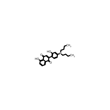 CCCCN(CCCC)c1ccc(C2=CC(=O)c3c(O)cccc3C2=O)c(O)c1